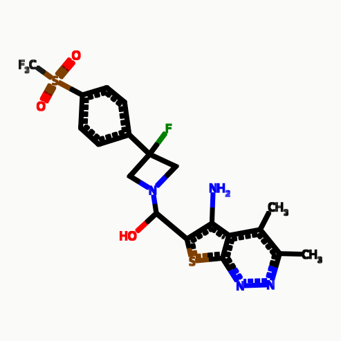 Cc1nnc2sc(C(O)N3CC(F)(c4ccc(S(=O)(=O)C(F)(F)F)cc4)C3)c(N)c2c1C